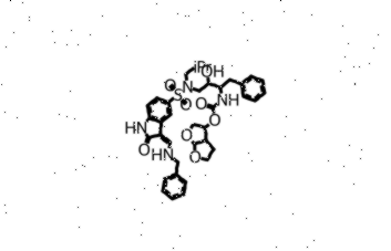 CC(C)CN(CC(O)C(Cc1ccccc1)NC(=O)OC1COC2OCCC12)S(=O)(=O)c1ccc2c(c1)/C(=C/NCc1ccccc1)C(=O)N2